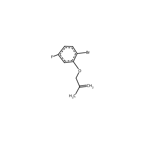 C=C(C)COc1cc(F)ccc1Br